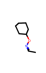 C/C=N\OC1CCCCC1